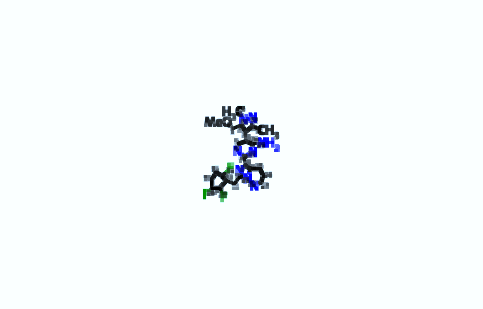 COCc1c(-c2cnc(-c3nc(Cc4c(F)ccc(F)c4F)n4ncccc34)nc2N)c(C)nn1C